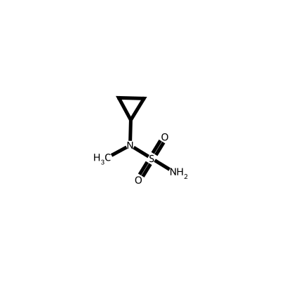 CN(C1CC1)S(N)(=O)=O